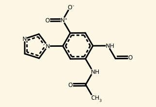 CC(=O)Nc1cc(-n2ccnc2)c([N+](=O)[O-])cc1NC=O